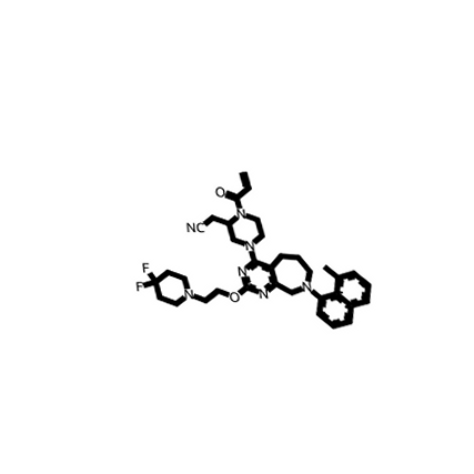 C=CC(=O)N1CCN(c2nc(OCCN3CCC(F)(F)CC3)nc3c2CCCN(c2cccc4cccc(C)c24)C3)CC1CC#N